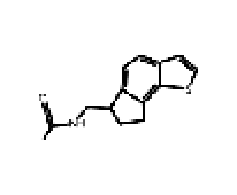 CC(=O)NCC1CCc2c1ccc1ccsc21